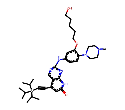 CC(C)[Si](C#Cc1cc(=O)[nH]c2nc(Nc3ccc(N4CCN(C)CC4)c(OCCCCCO)c3)ncc12)(C(C)C)C(C)C